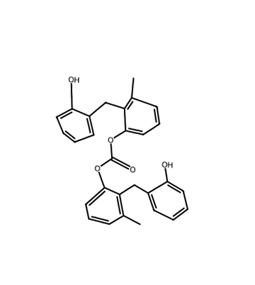 Cc1cccc(OC(=O)Oc2cccc(C)c2Cc2ccccc2O)c1Cc1ccccc1O